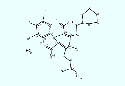 Cc1c(F)cc(C2C(C(=O)O)=C(CCN(C)C)N(C)C(CCN3CCCCC3)=C2C(=O)O)c(F)c1F.Cl.Cl